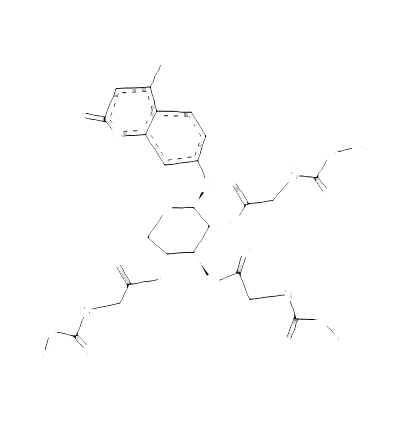 Cc1cc(=O)oc2cc(O[C@@H]3SC[C@@H](OC(=O)CNC(=O)OC(C)(C)C)[C@H](OC(=O)CNC(=O)OC(C)(C)C)[C@H]3OC(=O)CNC(=O)OC(C)(C)C)ccc12